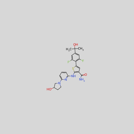 CC(C)(O)c1cc(F)c(-c2cc(C(N)=O)c(Nc3cccc(N4CCC(O)C4)n3)s2)c(F)c1